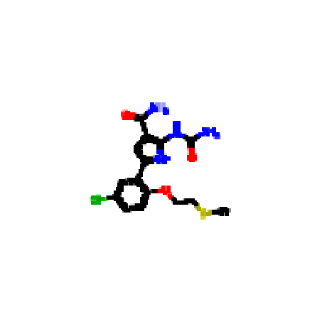 CC(C)SCCOc1ccc(Cl)cc1-c1cc(C(N)=O)c(NC(N)=O)[nH]1